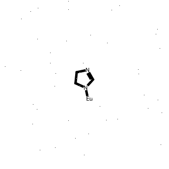 [Eu][N]1C=NCC1